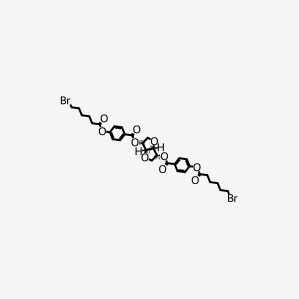 O=C(CCCCCBr)Oc1ccc(C(=O)O[C@@H]2CO[C@H]3[C@@H]2OC[C@H]3OC(=O)c2ccc(OC(=O)CCCCCBr)cc2)cc1